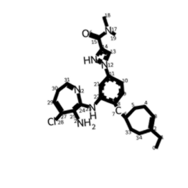 CCC1=CCCC(Cc2ccc(-n3cc(C(=O)N(C)C)[nH]3)cc2NC2=C(N)C(Cl)=CCC=N2)CC1